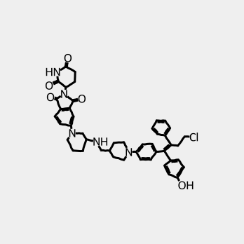 O=C1CCC(N2C(=O)c3ccc(N4CCCC(NCC5CCN(c6ccc(C(=C(CCCl)c7ccccc7)c7ccc(O)cc7)cc6)CC5)C4)cc3C2=O)C(=O)N1